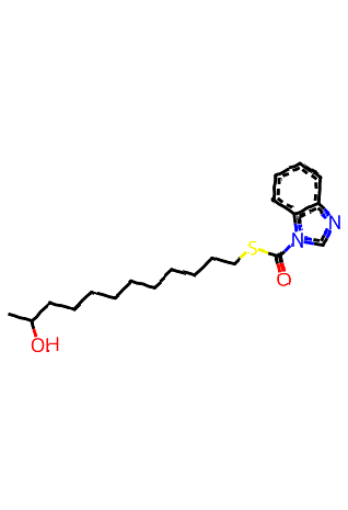 CC(O)CCCCCCCCCCSC(=O)n1cnc2ccccc21